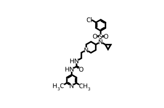 Cc1cc(NC(=O)NCCN2CCC(N(C3CC3)S(=O)(=O)c3cccc(Cl)c3)CC2)cc(C)n1